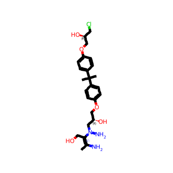 C/C(N)=C(\CO)N(N)C[C@@H](O)COc1ccc(C(C)(C)c2ccc(OC[C@@H](O)CCl)cc2)cc1